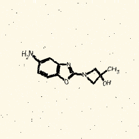 CC1(O)CN(c2nc3cc(N)ccc3o2)C1